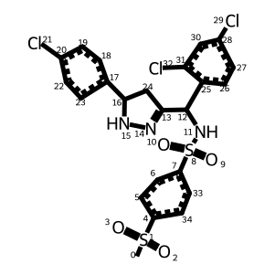 CS(=O)(=O)c1ccc(S(=O)(=O)NC(C2=NNC(c3ccc(Cl)cc3)C2)c2ccc(Cl)cc2Cl)cc1